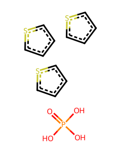 O=P(O)(O)O.c1ccsc1.c1ccsc1.c1ccsc1